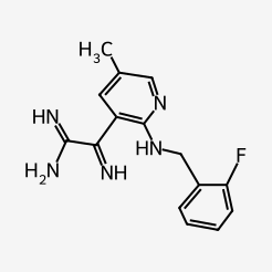 Cc1cnc(NCc2ccccc2F)c(C(=N)C(=N)N)c1